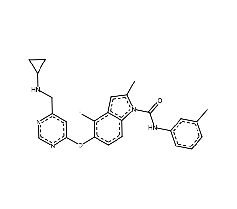 Cc1cccc(NC(=O)n2c(C)cc3c(F)c(Oc4cc(CNC5CC5)ncn4)ccc32)c1